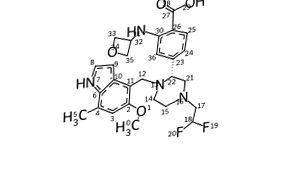 COc1cc(C)c2[nH]ccc2c1CN1CCN(CC(F)F)C[C@H]1c1ccc(C(=O)O)c(NC2COC2)c1